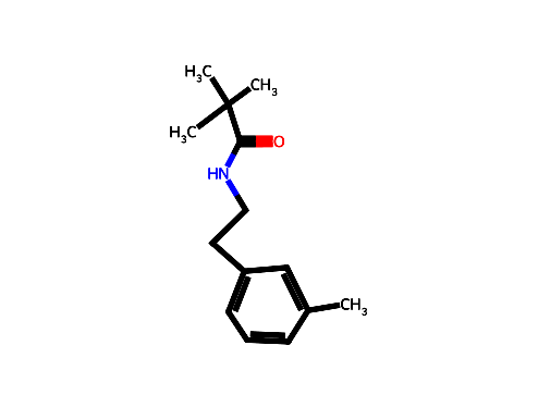 Cc1cccc(CCNC(=O)C(C)(C)C)c1